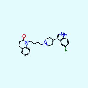 O=C1CCc2ccccc2N1CCCCN1CC=C(c2c[nH]c3ccc(F)cc23)CC1